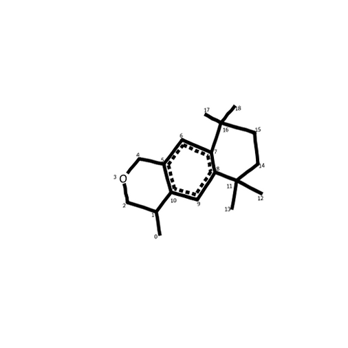 CC1COCc2cc3c(cc21)C(C)(C)CCC3(C)C